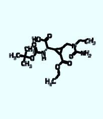 CCOC(=O)C1C(CN(CC)C(N)=O)C1[C@H](NC(=O)OC(C)(C)C)C(=O)O